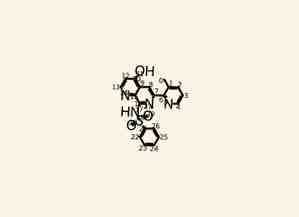 Cc1cccnc1-c1cc2c(O)ccnc2c(NS(=O)(=O)c2ccccc2)n1